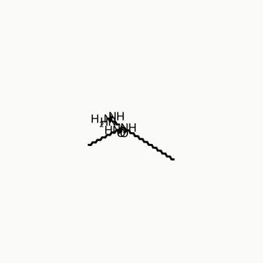 CCCCCCCCCCCCCCCCCCCCCC(=O)N[C@@H](CCCNC(=N)N)C(=O)NCCCCCCCCCCCC